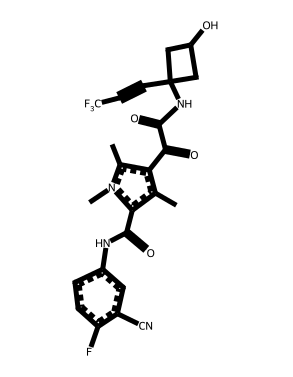 Cc1c(C(=O)C(=O)NC2(C#CC(F)(F)F)CC(O)C2)c(C)n(C)c1C(=O)Nc1ccc(F)c(C#N)c1